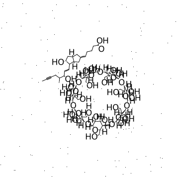 CC#CCC(C)[C@H](O)/C=C/C1[C@H](O)C[C@@H]2C/C(=C\CCCC(=O)O)C[C@H]12.OC[C@H]1O[C@@H]2O[C@H]3[C@H](O)[C@@H](O)[C@@H](O[C@H]4[C@H](O)[C@@H](O)[C@@H](O[C@H]5[C@H](O)[C@@H](O)[C@@H](O[C@H]6[C@H](O)[C@@H](O)[C@@H](O[C@H]7[C@H](O)[C@@H](O)[C@@H](O[C@H]8[C@H](O)[C@@H](O)[C@@H](O[C@H]1[C@H](O)[C@H]2O)O[C@@H]8CO)O[C@@H]7CO)O[C@@H]6CO)O[C@@H]5CO)O[C@@H]4CO)O[C@@H]3CO